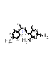 Cc1nc(N)nc(N)c1/C=C/C(C)c1ccc(C(F)(F)F)cc1